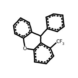 FC(F)(F)c1cccc2c1C(c1ccccc1)c1ccccc1O2